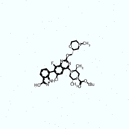 C[C@@H]1CN(c2nc(OC[C@H]3CN(C)CCO3)nc3c(F)c(-c4cccc5c(O)n[nH]c45)c(Cl)cc23)[C@@H](C)CN1C(=O)OC(C)(C)C